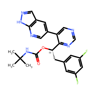 CC(C)(C)NC(=O)O[C@@H](Cc1cc(F)cc(F)c1)c1ncncc1-c1cnc2[nH]ncc2c1